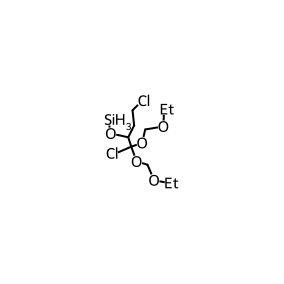 CCOCOC(Cl)(OCOCC)C(CCCl)O[SiH3]